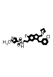 Cn1cc(S(=O)(=O)NCCc2cc3c(cc2F)CC(CN2CCC2)C3Cc2cccc(Cl)c2)cn1